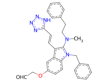 CN(CCc1ccccc1)c1c(C=Cc2nnn[nH]2)c2cc(OCC=O)ccc2n1Cc1ccccc1